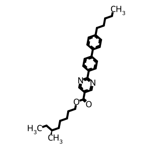 CCCCCc1ccc(-c2ccc(-c3ncc(C(=O)OCCCCC[C@@H](C)CC)cn3)cc2)cc1